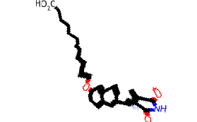 C=C1C(=O)NC(=O)/C1=C/c1ccc2cc(OCCCCCCCCCCCC(=O)O)ccc2c1